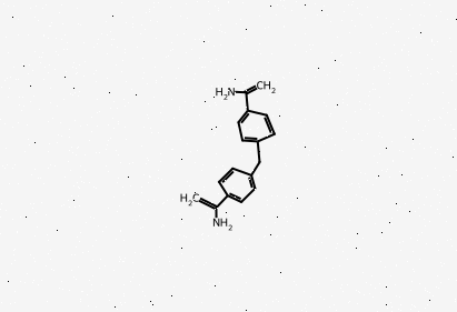 C=C(N)c1ccc(Cc2ccc(C(=C)N)cc2)cc1